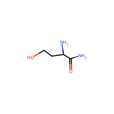 NC(=O)C(N)CCO